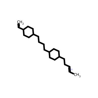 C=CC1CCC(CCCCC2CCC(CC/C=C/C)CC2)CC1